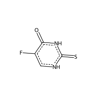 O=c1[nH]c(=S)[nH]cc1F